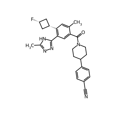 Cc1nnc(-c2cc(C(=O)N3CCC(c4ccc(C#N)cc4)CC3)c(C)cc2[C@H]2C[C@@H](F)C2)[nH]1